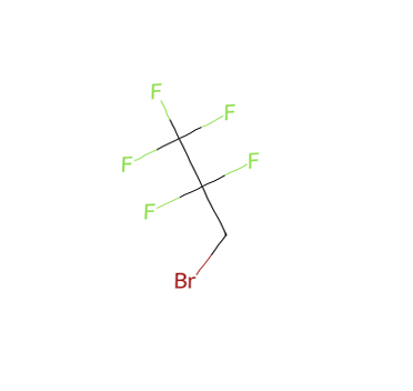 FC(F)(F)C(F)(F)CBr